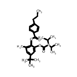 CCCc1ccc(C(=O)Oc2c(C)cc(C(C)(C)C)cc2OC(=O)N(C(C)C)C(C)C)cc1